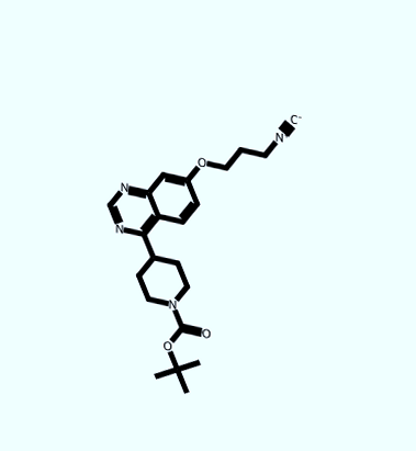 [C-]#[N+]CCCOc1ccc2c(C3CCN(C(=O)OC(C)(C)C)CC3)ncnc2c1